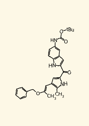 C/C(=C\c1cc(C(=O)c2cc3cc(NC(=O)OC(C)(C)C)ccc3[nH]2)[nH]c1C)OCc1ccccc1